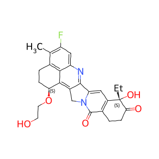 CC[C@@]1(O)C(=O)CCc2c1cc1n(c2=O)Cc2c-1nc1cc(F)c(C)c3c1c2[C@@H](OCCO)CC3